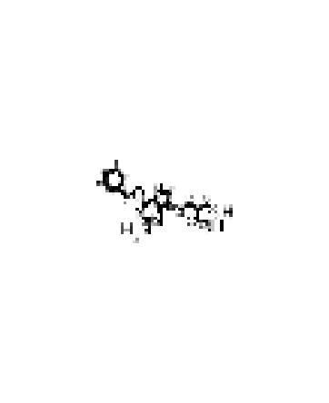 Nc1nc(OCc2ccccc2)c2ncn(CCC(CO)CO)c2n1